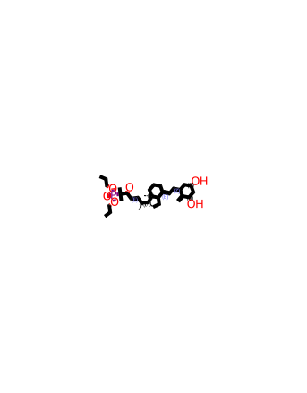 C=C1/C(=C\C=C2/CCC[C@@]3(C)C2CC[C@@H]3[C@H](C)/C=C/C(=O)C(C)(C)P(=O)(OCCC)OCCC)C[C@@H](O)C[C@@H]1O